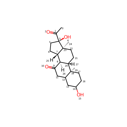 CC(=O)[C@@]1(O)CC[C@H]2[C@@H]3C(=O)CC4CC(O)CC[C@]4(C)[C@H]3CC[C@@]21C